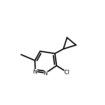 Cc1cc(C2CC2)c(Cl)nn1